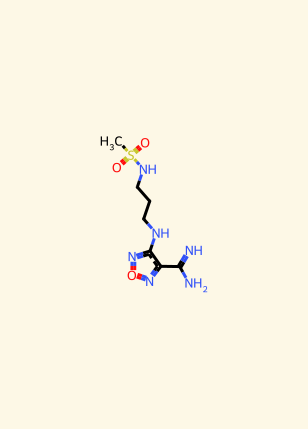 CS(=O)(=O)NCCCNc1nonc1C(=N)N